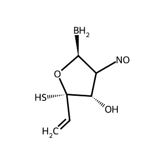 B[C@@H]1O[C@](S)(C=C)[C@@H](O)C1N=O